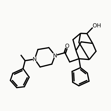 CC(c1ccccc1)N1CCN(C(=O)CC2(c3ccccc3)C3CC4CC2CC(C3)C4O)CC1